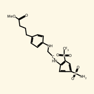 COC(=O)CCCc1ccc(NCCNc2ccc(S(N)(=O)=O)cc2S(=O)(=O)C(F)(F)F)cc1